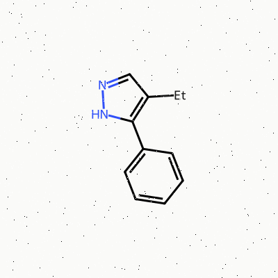 CCc1cn[nH]c1-c1ccccc1